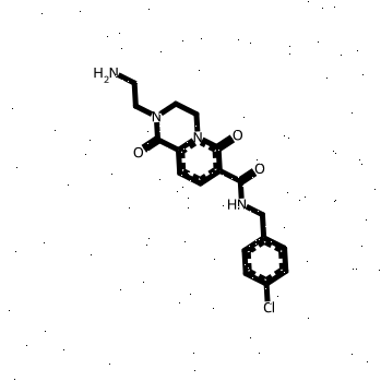 NCCN1CCn2c(ccc(C(=O)NCc3ccc(Cl)cc3)c2=O)C1=O